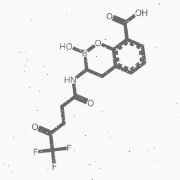 O=C(CCC(=O)C(F)(F)F)NC1Cc2cccc(C(=O)O)c2OB1O